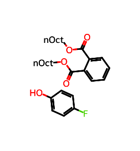 CCCCCCCCOC(=O)c1ccccc1C(=O)OCCCCCCCC.Oc1ccc(F)cc1